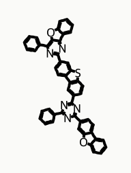 c1ccc(-c2nc(-c3ccc4c(c3)oc3ccccc34)nc(-c3ccc4sc5cc(-c6nc(-c7ccccc7)c7oc8ccccc8c7n6)ccc5c4c3)n2)cc1